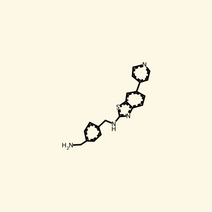 NCc1ccc(CNc2nc3ccc(-c4ccncc4)cc3s2)cc1